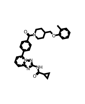 Cc1ccccc1OCC1CCN(C(=O)c2ccc(-c3cccc4nc(NC(=O)C5CC5)nn34)cc2)CC1